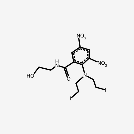 O=C(NCCO)c1cc([N+](=O)[O-])cc([N+](=O)[O-])c1N(CCI)CCI